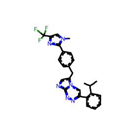 CC(C)c1ccccc1-c1cn2c(Cc3ccc(-c4nc(C(F)(F)F)cn4C)cc3)cnc2nn1